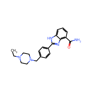 CCN1CCN(Cc2ccc(-c3nc4c(C(N)=O)cccc4[nH]3)cc2)CC1